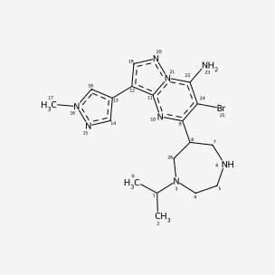 CC(C)N1CCNCC(c2nc3c(-c4cnn(C)c4)cnn3c(N)c2Br)C1